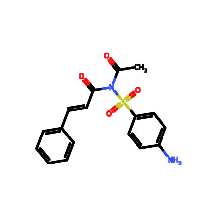 CC(=O)N(C(=O)C=Cc1ccccc1)S(=O)(=O)c1ccc(N)cc1